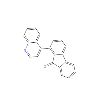 O=C1c2ccccc2-c2cccc(-c3ccnc4ccccc34)c21